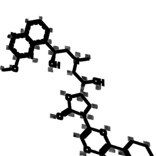 COc1cnc2cccc([C@H](O)CN(C)CC(O)[C@@H]3CN(C4=COC=C(C5=CC=CCC5)O4)C(=O)O3)c2n1